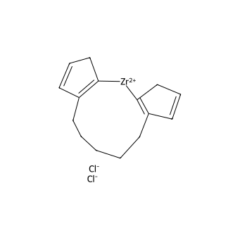 C1=CC2=[C](C1)[Zr+2][C]1=C(C=CC1)CCCCC2.[Cl-].[Cl-]